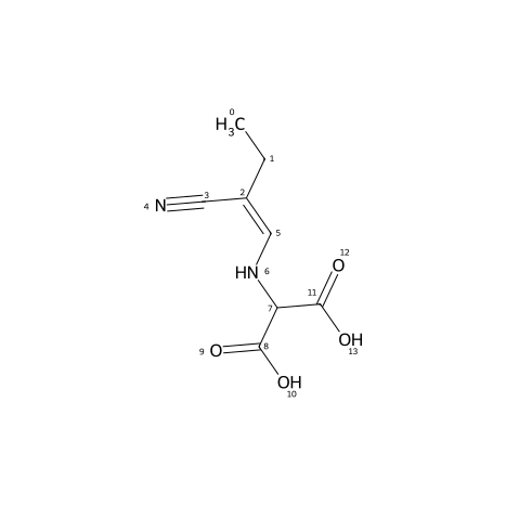 CCC(C#N)=CNC(C(=O)O)C(=O)O